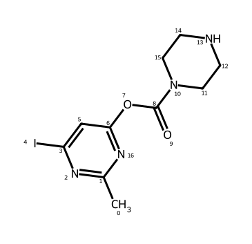 Cc1nc(I)cc(OC(=O)N2CCNCC2)n1